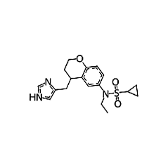 CCN(c1ccc2c(c1)C(Cc1c[nH]cn1)CCO2)S(=O)(=O)C1CC1